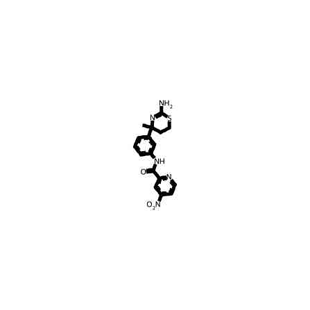 CC1(c2cccc(NC(=O)c3cc([N+](=O)[O-])ccn3)c2)CCSC(N)=N1